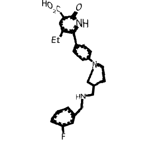 CCc1cc(C(=O)O)c(=O)[nH]c1-c1ccc(N2CCC(CNCc3cccc(F)c3)C2)cc1